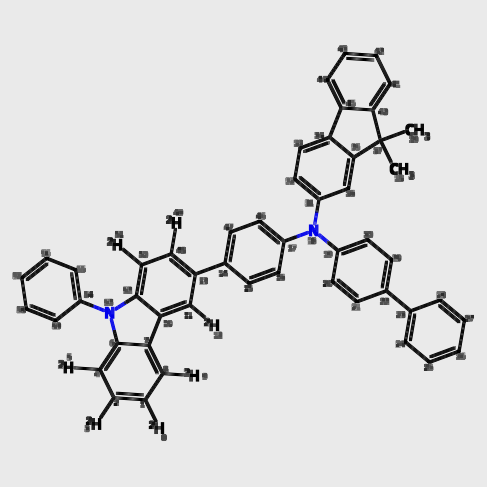 [2H]c1c([2H])c([2H])c2c(c1[2H])c1c([2H])c(-c3ccc(N(c4ccc(-c5ccccc5)cc4)c4ccc5c(c4)C(C)(C)c4ccccc4-5)cc3)c([2H])c([2H])c1n2-c1ccccc1